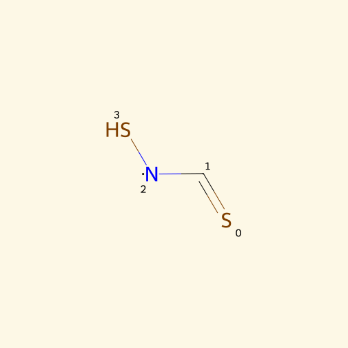 S=C[N]S